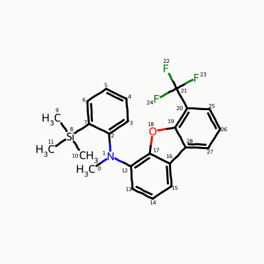 CN(c1ccccc1[Si](C)(C)C)c1cccc2c1oc1c(C(F)(F)F)cccc12